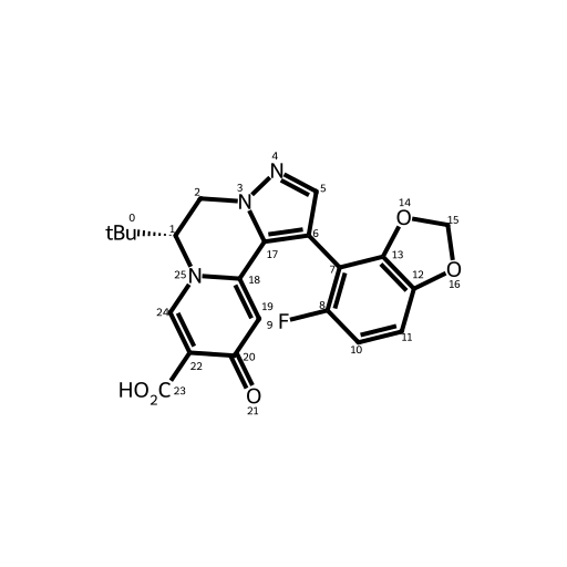 CC(C)(C)[C@@H]1Cn2ncc(-c3c(F)ccc4c3OCO4)c2-c2cc(=O)c(C(=O)O)cn21